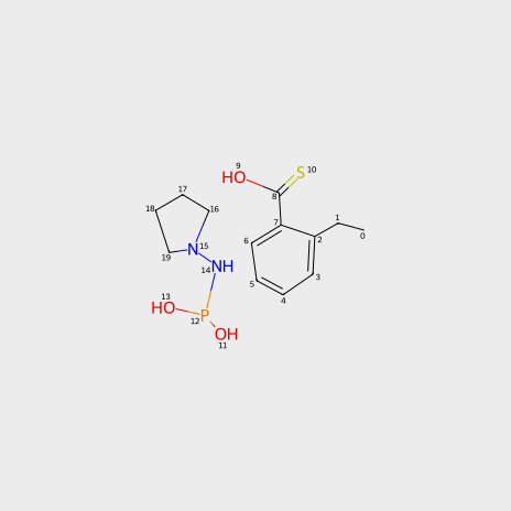 CCc1ccccc1C(O)=S.OP(O)NN1CCCC1